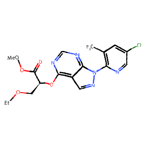 CCOC[C@H](Oc1ncnc2c1cnn2-c1ncc(Cl)cc1C(F)(F)F)C(=O)OOC